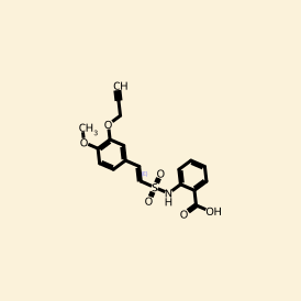 C#CCOc1cc(/C=C/S(=O)(=O)Nc2ccccc2C(=O)O)ccc1OC